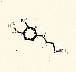 COCCOc1ccc(OC)c(Br)c1